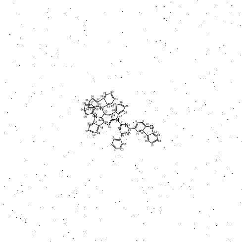 c1ccc(-c2nc(-c3ccc4oc5ccccc5c4c3)nc(-n3c4ccccc4c4c(-n5c6ccccc6c6ccccc65)c5c(cc43)c3ccccc3n5-c3ccccc3)n2)cc1